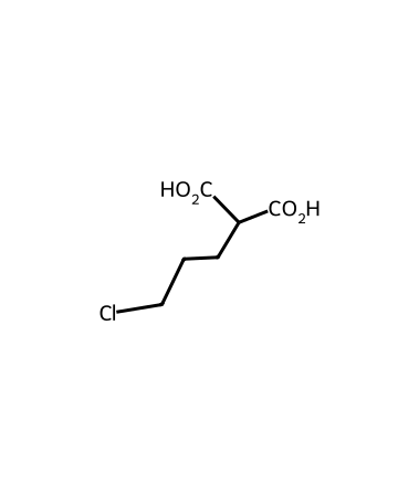 O=C(O)C(CCCCl)C(=O)O